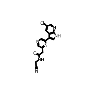 N#CCNC(=O)Cc1cncc(-c2c[nH]c3ncc(Cl)cc23)n1